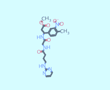 COC(=O)CC(NC(=O)CNC(=O)CCCNc1ncccn1)c1ccc(C)c([N+](=O)[O-])c1